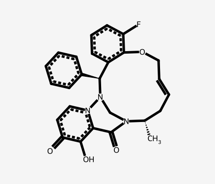 C[C@H]1C/C=C/COc2c(F)cccc2[C@H](c2ccccc2)N2CN1C(=O)c1c(O)c(=O)ccn12